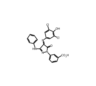 O=C(O)c1cccc(N2N=C(Nc3ccccc3)C(=Nc3cc(Cl)c(O)c(Cl)c3)C2=O)c1